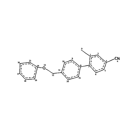 Cc1cc(C#N)ccc1-c1ccc(COc2ccccc2)cc1